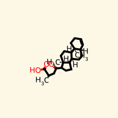 CC(CC(=O)C1CC[C@H]2[C@@H]3CC[C@H]4C=CCC[C@]4(C)[C@H]3CC[C@]12C)C(=O)O